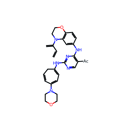 C=CC(=C)N1CCOc2ccc(Nc3nc(NC4=CC=C(N5CCOCC5)C=CC4)ncc3C(C)=O)cc21